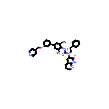 CC(C)c1cc(-c2cccc(OCc3ccncc3)c2)cc(C(C)C)c1NC(=O)N(CCc1ccccc1)c1cc2cccnc2[nH]c1=O